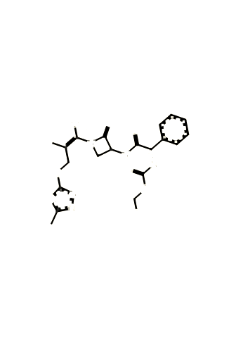 CC(CSc1nnc(C)s1)=C(C(=O)O)N1CC(NC(=O)[C@@H](NC(=O)OCC(Cl)(Cl)Cl)c2ccccc2)C1=O